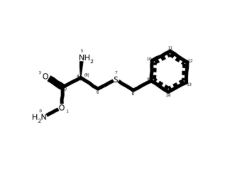 NOC(=O)[C@@H](N)CSCc1ccccc1